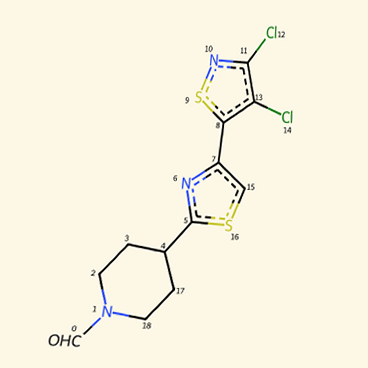 O=CN1CCC(c2nc(-c3snc(Cl)c3Cl)cs2)CC1